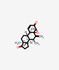 C=C1[C@@H](C)[C@H]2[C@@H]3CCC(=O)[C@@]3(C)CC[C@@H]2[C@@]2(C)C=CC(=O)C3OC132